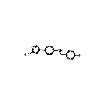 [CH2]c1cc(-c2ccc(NCc3ccc(F)cc3)cc2)no1